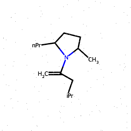 C=C(CC(C)C)N1C(C)CCC1CCC